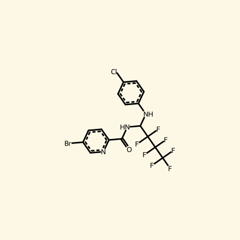 O=C(NC(Nc1ccc(Cl)cc1)C(F)(F)C(F)(F)C(F)(F)F)c1ccc(Br)cn1